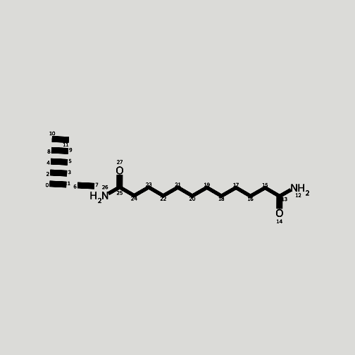 C=C.C=C.C=C.C=C.C=C.C=C.NC(=O)CCCCCCCCCCC(N)=O